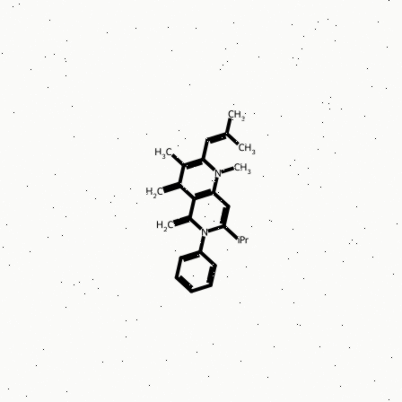 C=C1C(C)=C(C=C(C)C)N(C)C2=C1C(=C)N(c1ccccc1)C(C(C)C)=C2